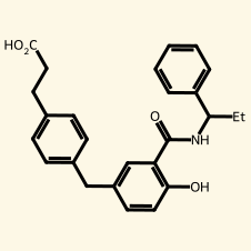 CCC(NC(=O)c1cc(Cc2ccc(CCC(=O)O)cc2)ccc1O)c1ccccc1